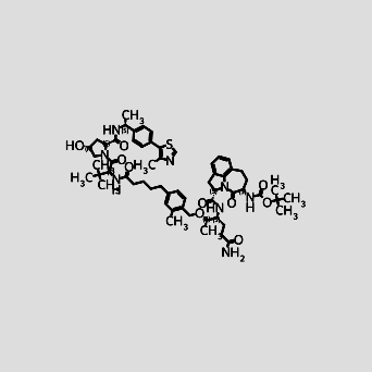 Cc1cc(CCCCC(=O)N[C@H](C(=O)N2C[C@H](O)C[C@H]2C(=O)N[C@@H](C)c2ccc(-c3scnc3C)cc2)C(C)(C)C)ccc1CO[C@H](C)[C@H](CCC(N)=O)NC(=O)[C@@H]1Cc2cccc3c2N1C(=O)[C@@H](NC(=O)OC(C)(C)C)CC3